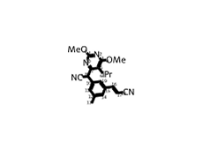 COc1nc(OC)c(C(C)C)c(C(C#N)c2cc(C)cc(C=CC#N)c2)n1